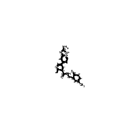 Cc1ncc(-c2ccn3nc(N)nc3c2)cc1C(=O)NCc1cc(C(F)(F)F)ccc1F